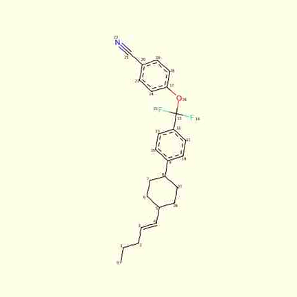 CCCC=CC1CCC(c2ccc(C(F)(F)Oc3ccc(C#N)cc3)cc2)CC1